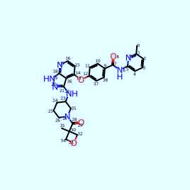 Cc1cccc(NC(=O)c2ccc(Oc3ccnc4[nH]nc(NC5CCCN(C(=O)C6(C)COC6)C5)c34)cc2)n1